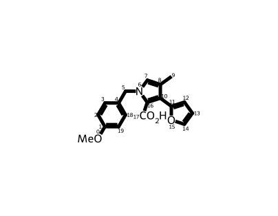 COc1ccc(Cn2cc(C)c(-c3ccco3)c2C(=O)O)cc1